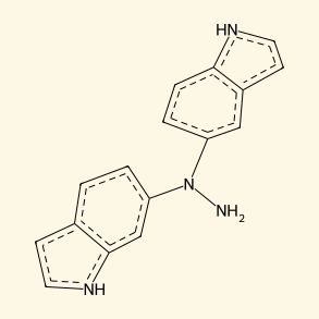 NN(c1ccc2[nH]ccc2c1)c1ccc2cc[nH]c2c1